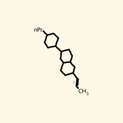 C/C=C/C1CCC2CC(C3CCC(CCC)CC3)CCC2C1